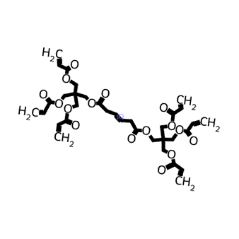 C=CC(=O)OCC(COC(=O)C=C)(COC(=O)C=C)COC(=O)C/C=C/CC(=O)OCC(COC(=O)C=C)(COC(=O)C=C)COC(=O)C=C